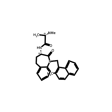 CN[C@@H](C)C(=O)N[C@H]1CCc2ccccc2N(Cc2c(C)ccc3ccccc23)C1=O